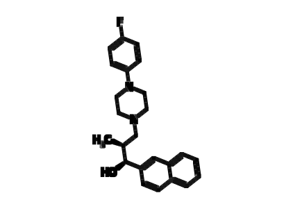 C[C@@H](CN1CCN(c2ccc(F)cc2)CC1)[C@H](O)c1ccc2ccccc2c1